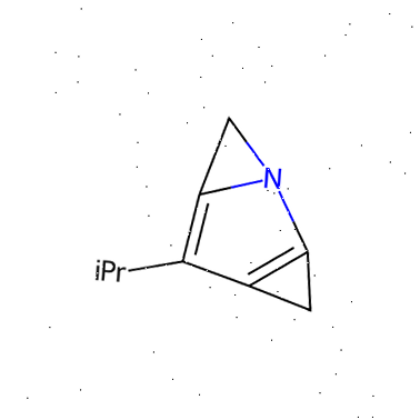 CC(C)c1c2c(n3c1C3)C2